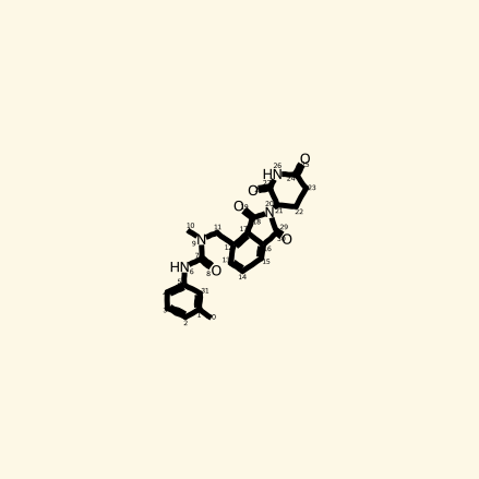 Cc1cccc(NC(=O)N(C)Cc2cccc3c2C(=O)N(C2CCC(=O)NC2=O)C3=O)c1